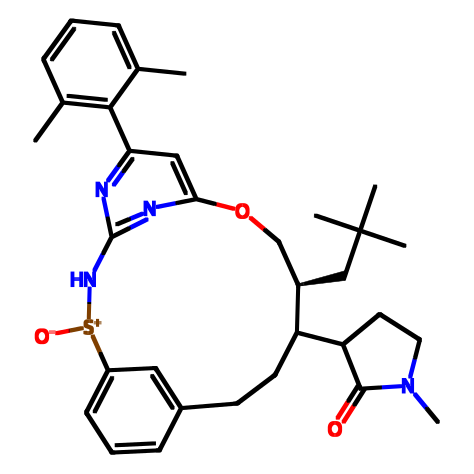 Cc1cccc(C)c1-c1cc2nc(n1)N[S+]([O-])c1cccc(c1)CCC(C1CCN(C)C1=O)[C@H](CC(C)(C)C)CO2